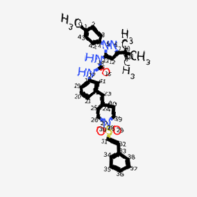 Cc1ccc(-n2nc(C(C)(C)C)cc2NC(=O)Nc2cccc(CC3CCN(S(=O)(=O)/C=C/c4ccccc4)CC3)c2)cc1